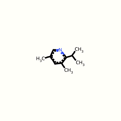 Cc1cnc(C(C)C)c(C)c1